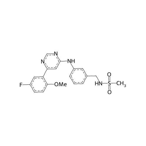 COc1ccc(F)cc1-c1cc(Nc2cccc(CNS(C)(=O)=O)c2)ncn1